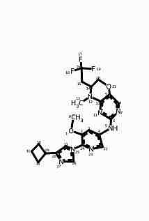 COc1cc(Nc2ncc3c(n2)N(C)C(CC(F)(F)F)CO3)cnc1-n1cnc(C2CCC2)c1